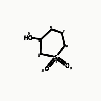 O=S1(=O)[CH]C(O)CCC1